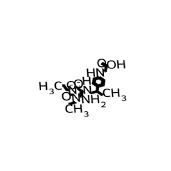 CCCN1C(=O)[N+]([O-])(CCC)C(=O)C(NCC(CC)c2ccc(NCC(=O)O)cc2)=C1N